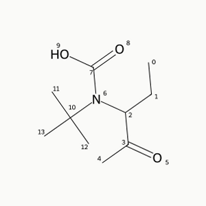 CCC(C(C)=O)N(C(=O)O)C(C)(C)C